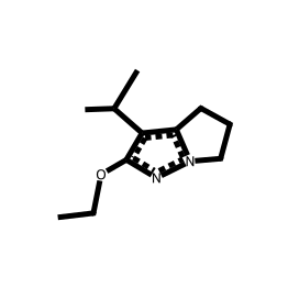 CCOc1nn2c(c1C(C)C)CCC2